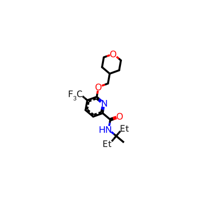 CCC(C)(CC)NC(=O)c1ccc(C(F)(F)F)c(OCC2CCOCC2)n1